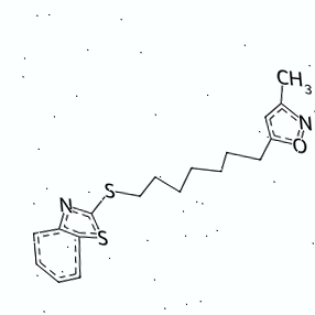 Cc1cc(CCCCCCCSc2nc3ccccc3s2)on1